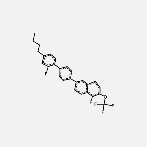 CCCCc1ccc(-c2ccc(-c3ccc4c(F)c(OC(F)(F)F)ccc4c3)cc2)c(F)c1